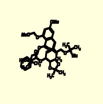 COCOc1cc(OC)cc(/C=C/C[C@@H]2OC(C)(C)OC2C(/C=C\[C@@H](C)CO[Si](C)(C)C(C)(C)C)OC(=O)c2ccccc2)c1C(=O)OCC[Si](C)(C)C